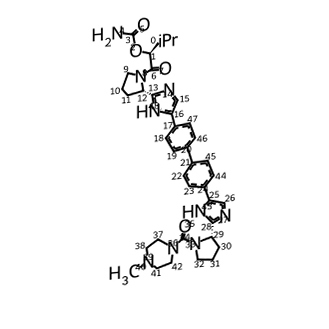 CC(C)[C@H](OC(N)=O)C(=O)N1CCC[C@H]1c1ncc(-c2ccc(-c3ccc(-c4cnc([C@@H]5CCCN5C(=O)N5CCN(C)CC5)[nH]4)cc3)cc2)[nH]1